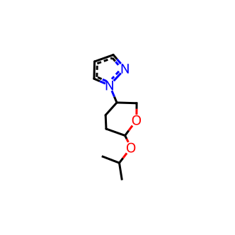 CC(C)OC1CCC(n2cccn2)CO1